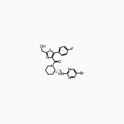 O=C(c1nc(CO)sc1-c1ccc(F)cc1)N1CCCC[C@H]1CNc1ncc(Br)cn1